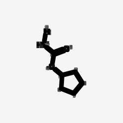 [CH2]CNC(=O)OC1CCCC1